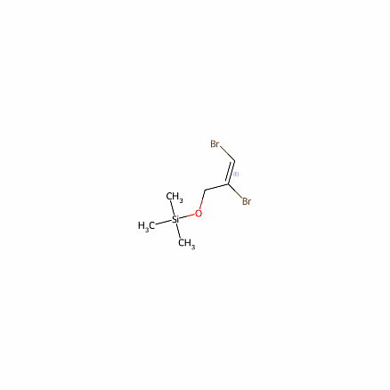 C[Si](C)(C)OC/C(Br)=C\Br